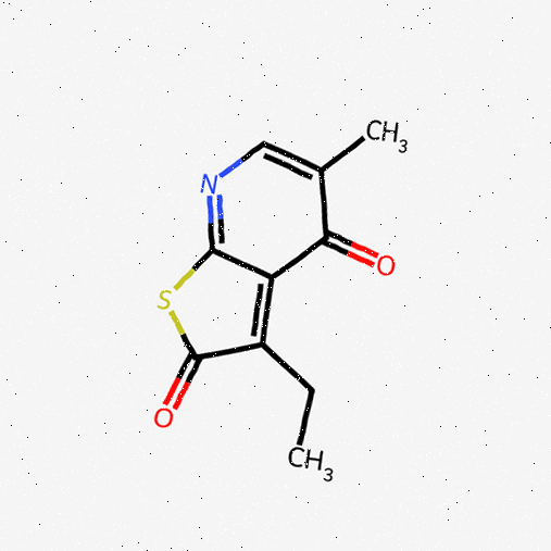 CCC1=C2C(=O)C(C)=CN=C2SC1=O